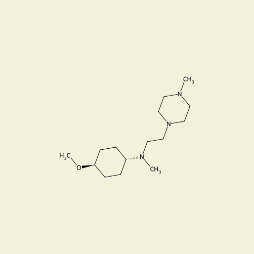 CO[C@H]1CC[C@H](N(C)CCN2CCN(C)CC2)CC1